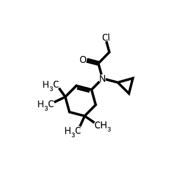 CC1(C)C=C(N(C(=O)CCl)C2CC2)CC(C)(C)C1